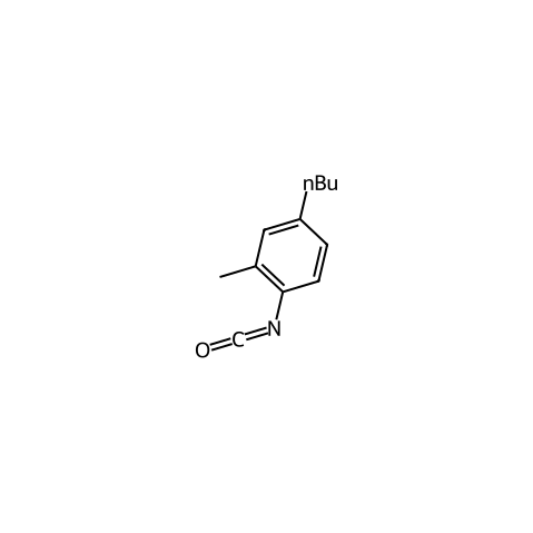 CCCCc1ccc(N=C=O)c(C)c1